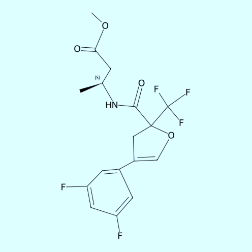 COC(=O)C[C@H](C)NC(=O)C1(C(F)(F)F)CC(c2cc(F)cc(F)c2)=CO1